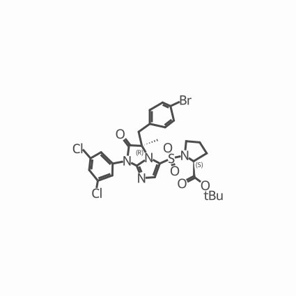 CC(C)(C)OC(=O)[C@@H]1CCCN1S(=O)(=O)c1cnc2n1[C@](C)(Cc1ccc(Br)cc1)C(=O)N2c1cc(Cl)cc(Cl)c1